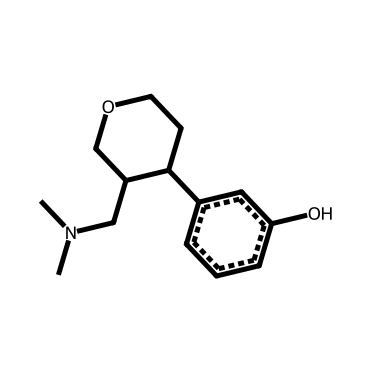 CN(C)CC1COCCC1c1cccc(O)c1